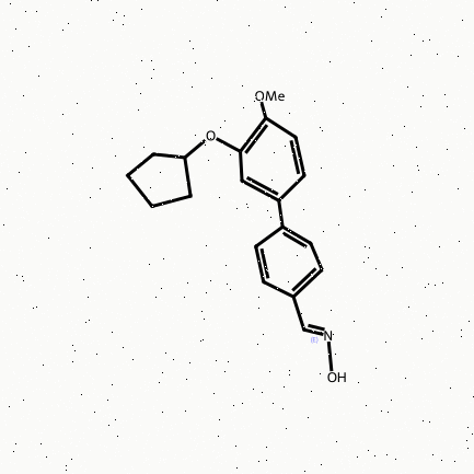 COc1ccc(-c2ccc(/C=N/O)cc2)cc1OC1CCCC1